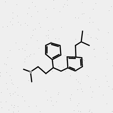 CC(C)Cc1cccc(CC(CCN(C)C)c2ccccc2)c1